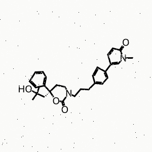 Cn1cc(-c2ccc(CCCN3CC[C@](CC(C)(C)O)(c4ccccc4)OC3=O)cc2)ccc1=O